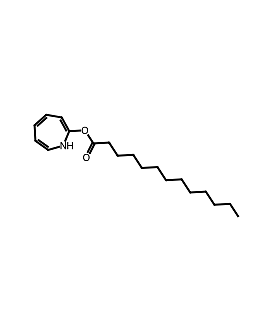 CCCCCCCCCCCCC(=O)OC1=CC=CC=CN1